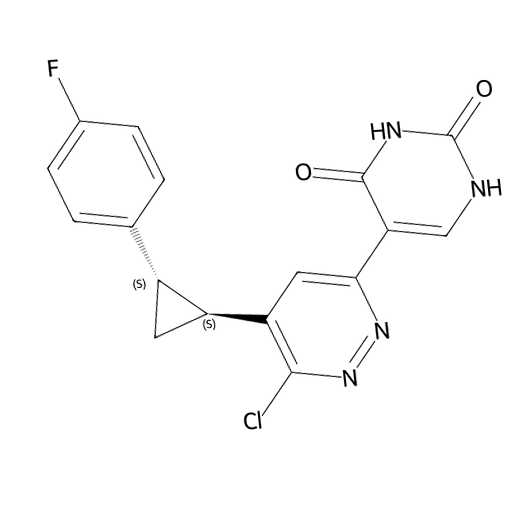 O=c1[nH]cc(-c2cc([C@H]3C[C@@H]3c3ccc(F)cc3)c(Cl)nn2)c(=O)[nH]1